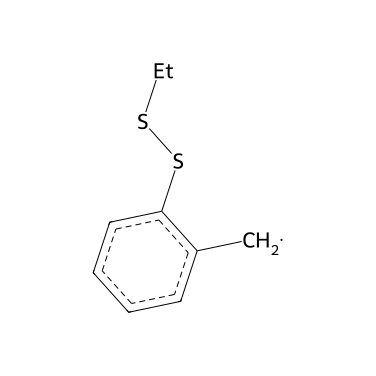 [CH2]c1ccccc1SSCC